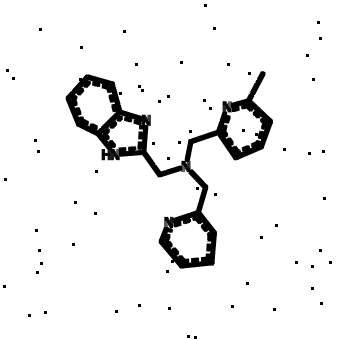 Cc1cccc(CN(Cc2ccccn2)Cc2nc3ccccc3[nH]2)n1